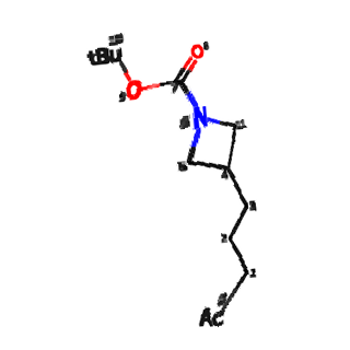 CC(=O)CCCC1CN(C(=O)OC(C)(C)C)C1